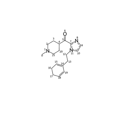 CN1CCC(C(=O)c2nccn2CCC2=CCCC=C2)CC1